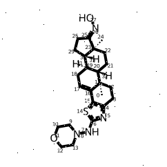 C[C@]12CCc3nc(NN4CCOCC4)sc3C1=CC[C@@H]1[C@@H]2CC[C@]2(C)/C(=N/O)CC[C@@H]12